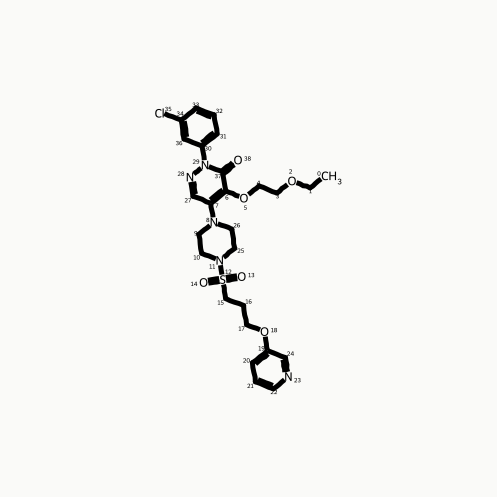 CCOCCOc1c(N2CCN(S(=O)(=O)CCCOc3cccnc3)CC2)cnn(-c2cccc(Cl)c2)c1=O